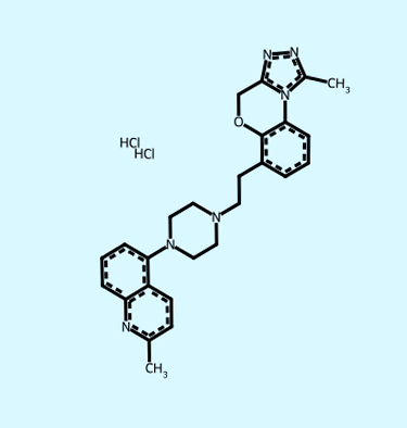 Cc1ccc2c(N3CCN(CCc4cccc5c4OCc4nnc(C)n4-5)CC3)cccc2n1.Cl.Cl